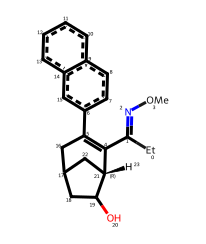 CCC(=NOC)C1=C(c2ccc3ccccc3c2)CC2CC(O)[C@@H]1C2